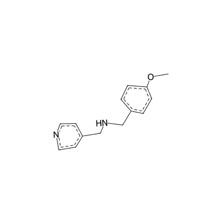 COc1ccc(CNCc2ccncc2)cc1